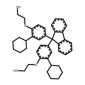 OCCOc1ccc(C2(c3ccc(OCCO)c(C4CCCCC4)c3)c3ccccc3-c3ccccc32)cc1C1CCCCC1